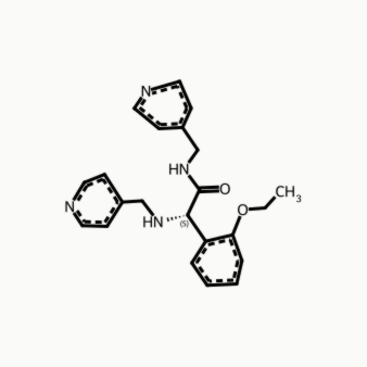 CCOc1ccccc1[C@H](NCc1ccncc1)C(=O)NCc1ccncc1